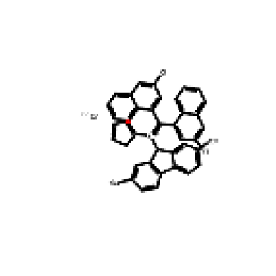 CC(C)(C)c1ccc2c(c1)[CH]([Zr+2]([C]1=CC=CC1)=[C](c1cc(Cl)cc3ccccc13)c1cc(Cl)cc3ccccc13)c1cc(C(C)(C)C)ccc1-2.[Cl-].[Cl-]